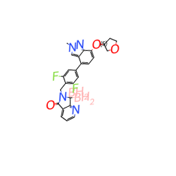 BC1(B)c2ncccc2C(=O)N1Cc1c(F)cc(-c2ccc(O[C@H]3CCOC3)c3nn(C)cc23)cc1F